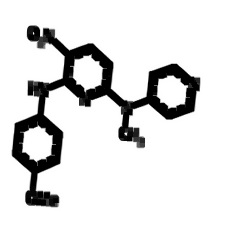 COc1ccc(Nc2nc(N(C)c3ccncc3)ccc2[N+](=O)[O-])cc1